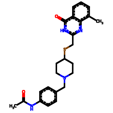 CC(=O)Nc1ccc(CN2CCC(SCc3nc4c(C)cccc4c(=O)[nH]3)CC2)cc1